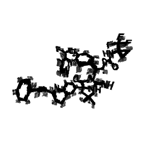 CC(C)(C)C[C@]1(c2ccc3nc(C#Cc4ccccc4)ccc3c2)NC(=N)N([C@H](COC(=O)NC2(C(F)(F)F)CC2)c2ccc(Cl)c(-n3ncnc3C(F)F)c2)C1=O